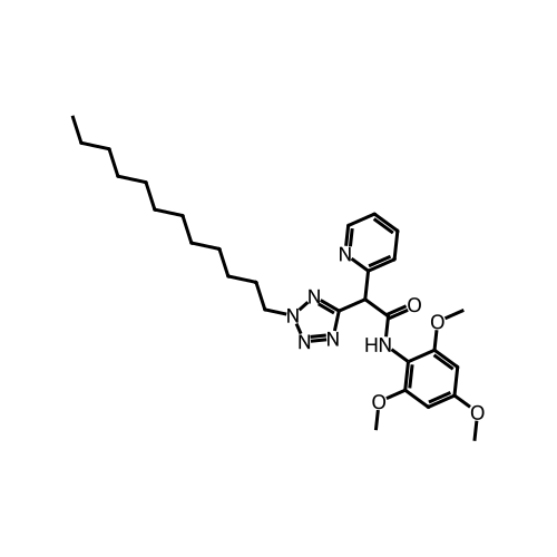 CCCCCCCCCCCCn1nnc(C(C(=O)Nc2c(OC)cc(OC)cc2OC)c2ccccn2)n1